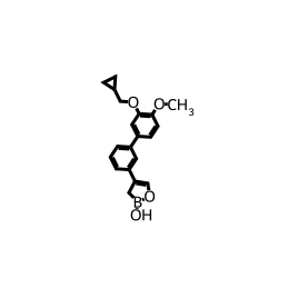 COc1ccc(-c2cccc(C3=COB(O)C3)c2)cc1OCC1CC1